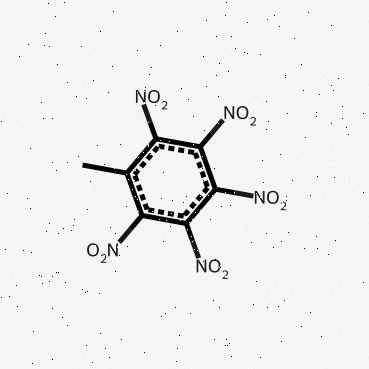 Cc1c([N+](=O)[O-])c([N+](=O)[O-])c([N+](=O)[O-])c([N+](=O)[O-])c1[N+](=O)[O-]